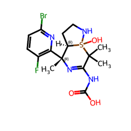 CC1(C)C(NC(=O)O)=N[C@](C)(c2nc(Br)ccc2F)[C@H]2CCNS21O